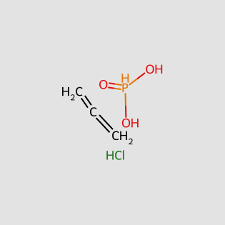 C=C=C.Cl.O=[PH](O)O